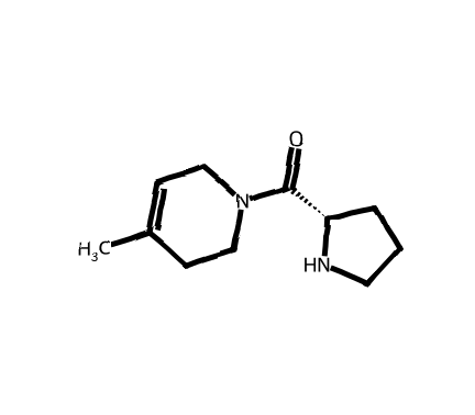 CC1=CCN(C(=O)[C@@H]2CCCN2)CC1